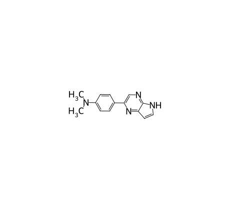 CN(C)c1ccc(-c2cnc3[nH]ccc3n2)cc1